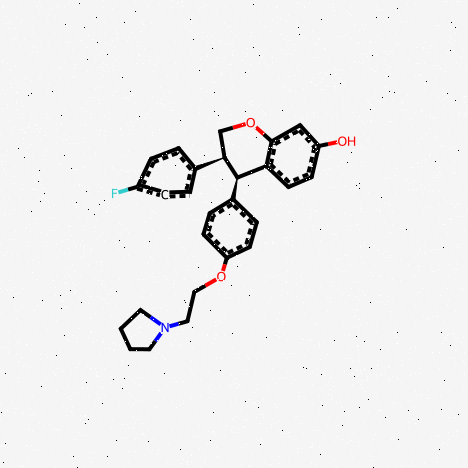 Oc1ccc2c(c1)OC[C@H](c1ccc(F)cc1)[C@@H]2c1ccc(OCCN2CCCC2)cc1